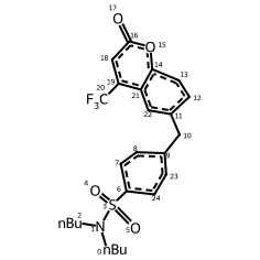 CCCCN(CCCC)S(=O)(=O)c1ccc(Cc2ccc3oc(=O)cc(C(F)(F)F)c3c2)cc1